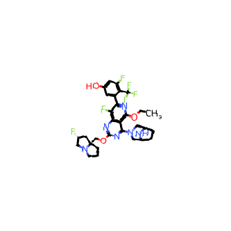 CCOc1nc(-c2cc(O)cc(F)c2C(F)(F)F)c(F)c2nc(OC[C@@]34CCCN3C[C@H](F)C4)nc(N3CC4CCC(C3)N4)c12